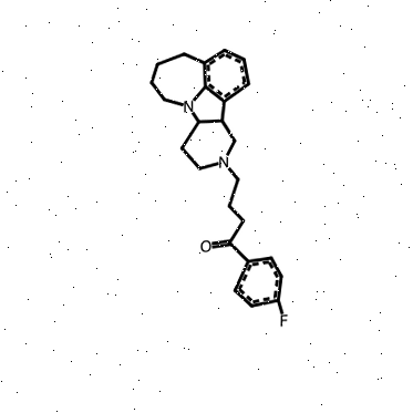 O=C(CCCN1CCC2C(C1)c1cccc3c1N2CCCC3)c1ccc(F)cc1